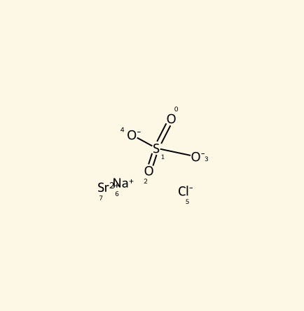 O=S(=O)([O-])[O-].[Cl-].[Na+].[Sr+2]